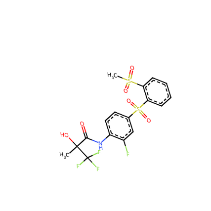 CC(O)(C(=O)Nc1ccc(S(=O)(=O)c2ccccc2S(C)(=O)=O)cc1F)C(F)(F)F